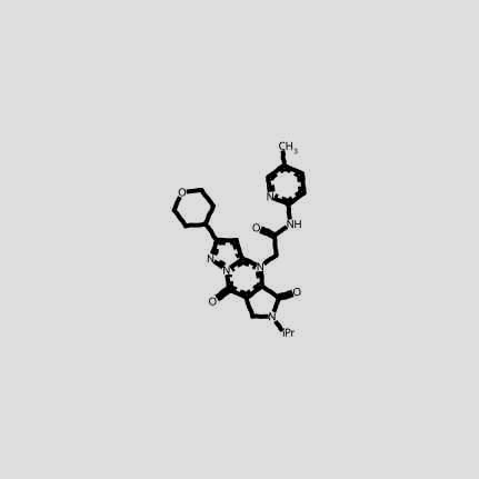 Cc1ccc(NC(=O)Cn2c3c(c(=O)n4nc(C5CCOCC5)cc24)CN(C(C)C)C3=O)nc1